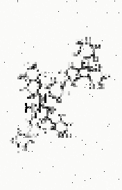 CC1(C)C(c2ccccc2)=CC2NC(n3c4ccc(-c5ccc6c(c5)c5ccccc5n6-c5ccccc5)cc4c4c5ccccc5ccc43)=NC(c3ccccc3)=C21